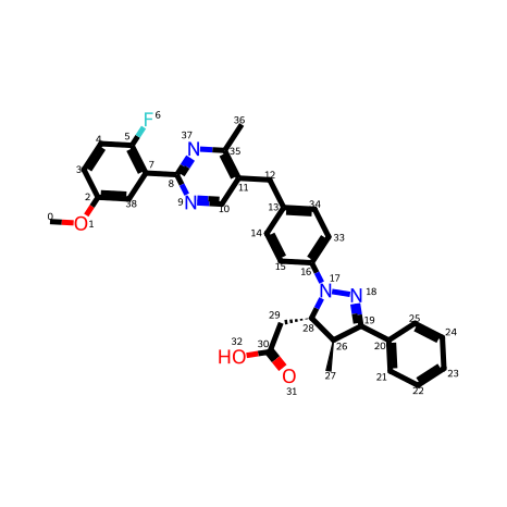 COc1ccc(F)c(-c2ncc(Cc3ccc(N4N=C(c5ccccc5)[C@@H](C)[C@@H]4CC(=O)O)cc3)c(C)n2)c1